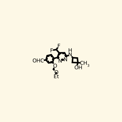 CCOCOc1cc(C=O)ccc1-c1nnc(NC2CC(C)(O)C2)cc1C(F)F